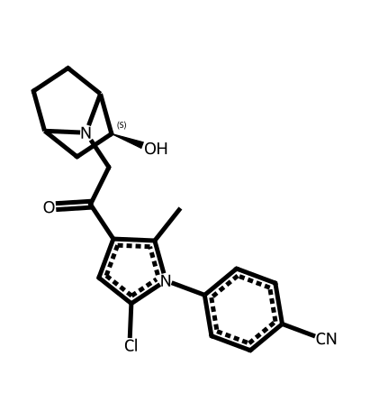 Cc1c(C(=O)CN2C3CCC2[C@@H](O)C3)cc(Cl)n1-c1ccc(C#N)cc1